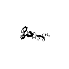 CC(C)(C=O)CCOc1ccc(-c2ccnn2C2CCCCO2)nc1